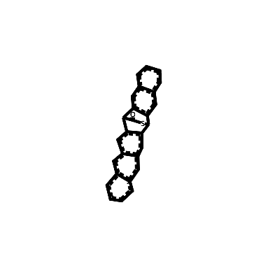 O=C1SC2c3cc4ccccc4cc3C1c1cc3cc4ccccc4cc3cc12